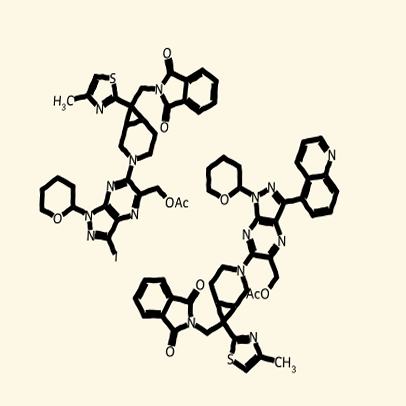 CC(=O)OCc1nc2c(-c3cccc4ncccc34)nn(C3CCCCO3)c2nc1N1CCC2C(C1)C2(CN1C(=O)c2ccccc2C1=O)c1nc(C)cs1.CC(=O)OCc1nc2c(I)nn(C3CCCCO3)c2nc1N1CCC2C(C1)C2(CN1C(=O)c2ccccc2C1=O)c1nc(C)cs1